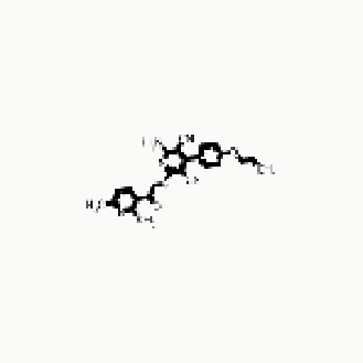 C=CCOc1ccc(-c2c(C#N)c(N)nc(SCC(=O)c3ccc(C)nc3C)c2C#N)cc1